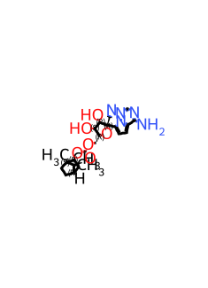 CC1(C)[C@@H]2CC[C@]1(C)[C@@H](OC(=O)OC[C@H]1O[C@@](C#N)(c3ccc4c(N)ncnn34)[C@H](O)[C@@H]1O)C2